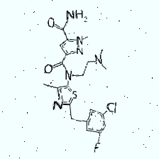 Cc1nc(Cc2cc(F)cc(Cl)c2)sc1N(CCN(C)C)C(=O)c1cc(C(N)=O)n(C)n1